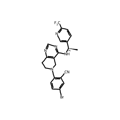 C[C@@H](Nc1ncnc2c1CN(c1ccc(Br)cc1C#N)CC2)c1ccc(C(F)(F)F)nc1